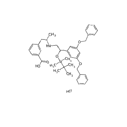 CC(Cc1cccc(C(=O)O)c1)NCC(O[Si](C)(C)C(C)(C)C)c1cc(OCc2ccccc2)cc(OCc2ccccc2)c1.Cl